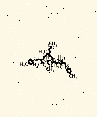 COC(=O)CCC1=C(C)C(/C=C2\NC(=O)C(C)=C2CCSc2ccc(C)cc2)=NC/1=C\c1[nH]c(/C=C2\NC(=O)C(CCSc3ccc(C)cc3)=C2C)c(C)c1CCC(=O)OC